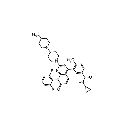 Cc1ccc(C(=O)NC2CC2)cc1-c1nc(N2CCC(N3CCC(C)CC3)CC2)nc2c1ccc(=O)n2-c1c(F)cccc1F